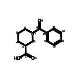 O=C(O)C1CCCN(C(=O)c2cc[c]cc2)C1